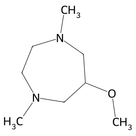 COC1CN(C)CCN(C)C1